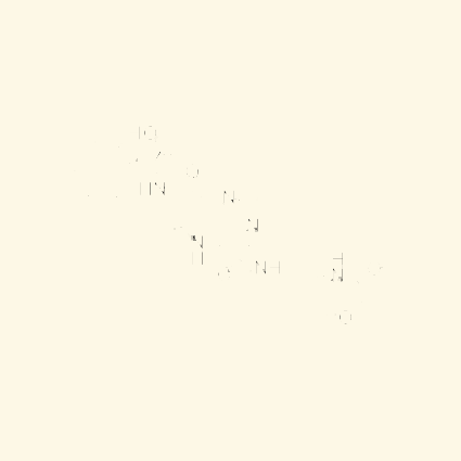 O=C1COc2ccc(CNC(=O)c3ncnc4c(C(=O)N[C@H](CO)c5ccccc5)c[nH]c34)cc2N1